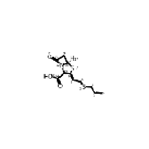 C=CCSC/C=C1\S[C@@H]2CC(=O)N2C1C(=O)O